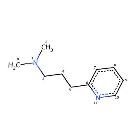 CN(C)CCCc1ccccn1